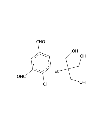 CCC(CO)(CO)CO.O=Cc1ccc(Cl)c(C=O)c1